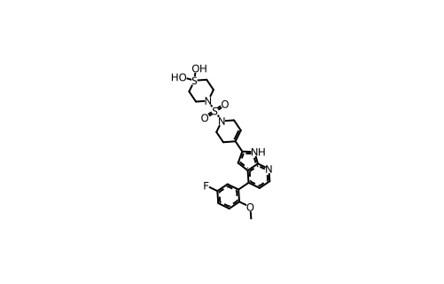 COc1ccc(F)cc1-c1ccnc2[nH]c(C3=CCN(S(=O)(=O)N4CCS(O)(O)CC4)CC3)cc12